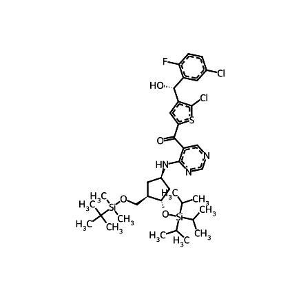 CC(C)[Si](O[C@H]1C[C@H](Nc2ncncc2C(=O)c2cc([C@H](O)c3cc(Cl)ccc3F)c(Cl)s2)C[C@@H]1CO[Si](C)(C)C(C)(C)C)(C(C)C)C(C)C